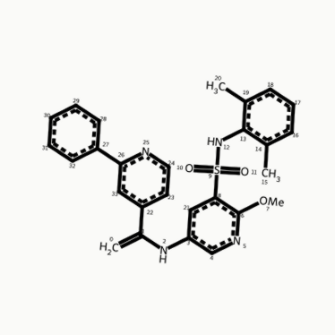 C=C(Nc1cnc(OC)c(S(=O)(=O)Nc2c(C)cccc2C)c1)c1ccnc(-c2ccccc2)c1